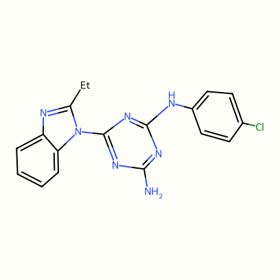 CCc1nc2ccccc2n1-c1nc(N)nc(Nc2ccc(Cl)cc2)n1